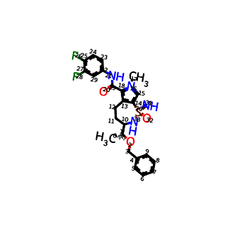 C[C@@H](OCc1ccccc1)C1CCc2c(cn(C)c2C(=O)Nc2ccc(F)c(F)c2)S(=N)(=O)N1